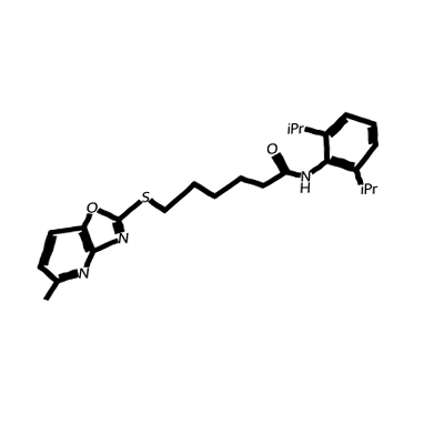 Cc1ccc2oc(SCCCCCC(=O)Nc3c(C(C)C)cccc3C(C)C)nc2n1